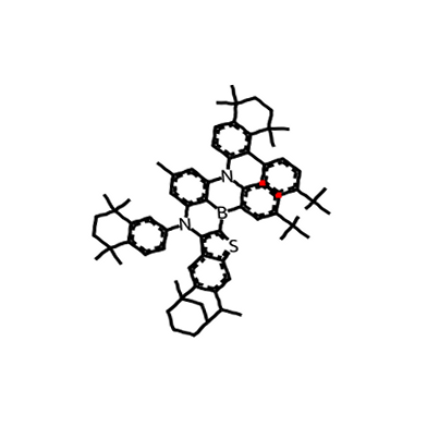 Cc1cc2c3c(c1)N(c1ccc4c(c1)C(C)(C)CCC4(C)C)c1c(sc4cc5c(cc14)C1(C)CCCC(C1)C5C)B3c1cc(C(C)(C)C)ccc1N2c1ccc2c(c1-c1ccc(C(C)(C)C)cc1)C(C)(C)CCC2(C)C